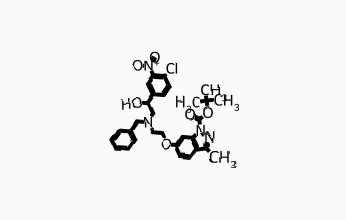 Cc1nn(C(=O)OC(C)(C)C)c2cc(OCCN(Cc3ccccc3)CC(O)c3ccc(Cl)c([N+](=O)[O-])c3)ccc12